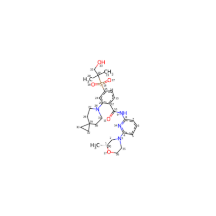 C[C@@H]1CN(c2cccc(NC(=O)c3ccc(S(=O)(=O)C(C)(C)CO)cc3N3CCC4(CC3)CC4)n2)CCO1